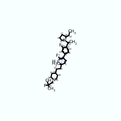 C=C(/C=C\C(=C(/C)F)c1ccc(C(=C)N2CCCC2CC)c(F)c1)CCC1CCN(CC(C)(C)F)CC1